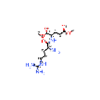 COC(=O)CCC(NC(=O)[C@@H](N)CCCNC(N)N)C(=O)OC